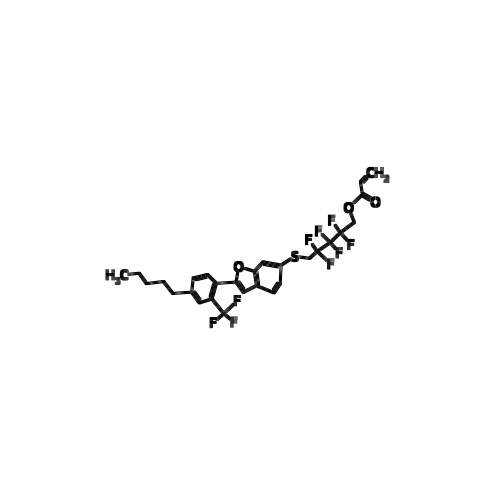 C=CC(=O)OCC(F)(F)C(F)(F)C(F)(F)CSc1ccc2cc(-c3ccc(CCCCC)cc3C(F)(F)F)oc2c1